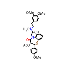 COc1ccc([C@H]2Sc3ccccc3N(CC(C)N(C)CCc3ccc(OC)c(OC)c3)C(=O)[C@H]2OC(C)=O)cc1